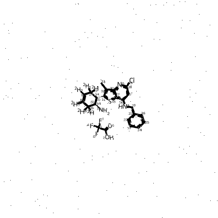 O=C(O)C(F)(F)F.[2H]C1=C([2H])C([2H])([2H])[C@H](c2sc3c(NCc4ccccc4)cc(Cl)nc3c2C)[C@@H](N)C1([2H])[2H]